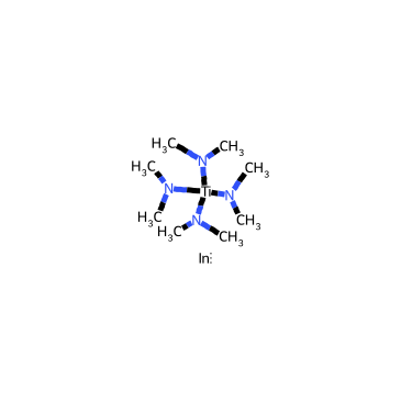 C[N](C)[Ti]([N](C)C)([N](C)C)[N](C)C.[In]